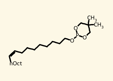 CCCCCCCC/C=C\CCCCCCCCOP1OCC(C)(C)CO1